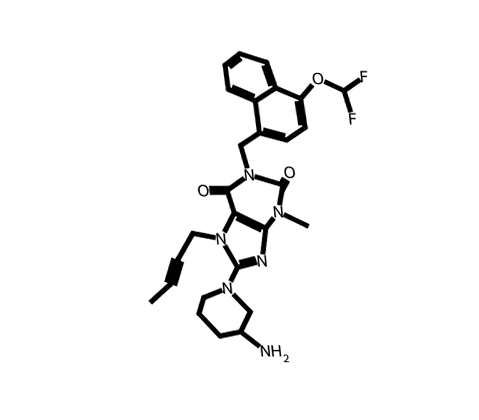 CC#CCn1c(N2CCCC(N)C2)nc2c1c(=O)n(Cc1ccc(OC(F)F)c3ccccc13)c(=O)n2C